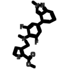 COC(=O)c1sccc1CN(C)c1c(F)cc(-c2cccc3nn(C)cc23)cc1F